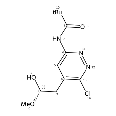 CO[C@H](O)Cc1cc(NC(=O)C(C)(C)C)nnc1Cl